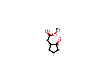 CCOC(=O)CC1CCCC1=O